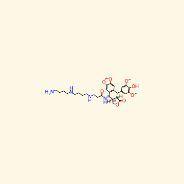 COc1cc(C2c3cc4c(cc3[C@@H](NC(=O)CCNCCCCNCCCCN)[C@H]3COC(=O)[C@H]23)OCO4)cc(OC)c1O